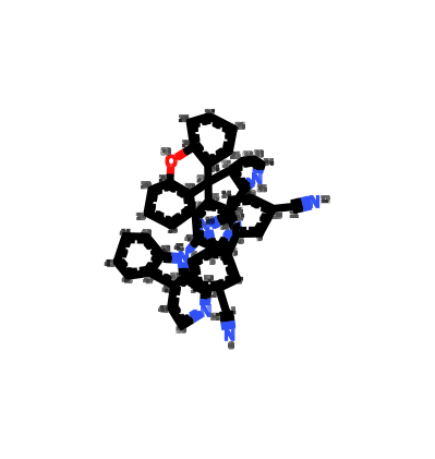 N#Cc1ccc2c(c1)c1cc(C#N)ccc1n2-c1cccc2c1C1(c3ccccc3O2)c2cccnc2-c2ncc(-n3c4ccccc4c4ccncc43)cc21